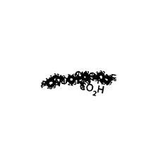 CC(CCC(=O)O)(c1ccc(OCc2ccc3cc(F)ccc3n2)cc1)c1ccc(OCc2ccc3cc(F)ccc3n2)cc1